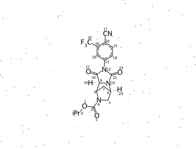 CC(C)OC(=O)N1C[C@H]2CC1[C@H]1C(=O)N(c3ccc(C#N)c(C(F)(F)F)c3)C(=O)N21